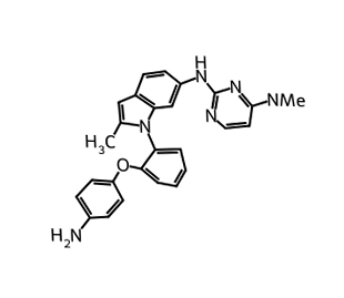 CNc1ccnc(Nc2ccc3cc(C)n(-c4ccccc4Oc4ccc(N)cc4)c3c2)n1